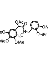 COc1cccc(CN(C)C(=O)C(OC(C)=O)c2cc(OC)c(OC)c(OC)c2)c1OC(C)C